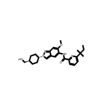 CCC(C)(C)c1cccc(C(=O)Nc2cc3cn([C@H]4CC[C@H](CO)CC4)nc3cc2OC)n1